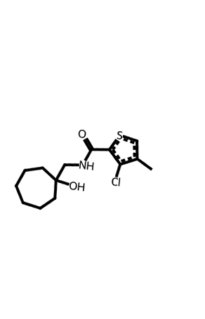 Cc1csc(C(=O)NCC2(O)CCCCCC2)c1Cl